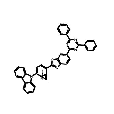 C1=C(c2nc3ccc(-c4nc(-c5ccccc5)nc(-c5ccccc5)n4)cc3s2)C2=C[C@@H]2C(n2c3ccccc3c3ccccc32)=C1